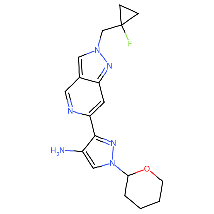 Nc1cn(C2CCCCO2)nc1-c1cc2nn(CC3(F)CC3)cc2cn1